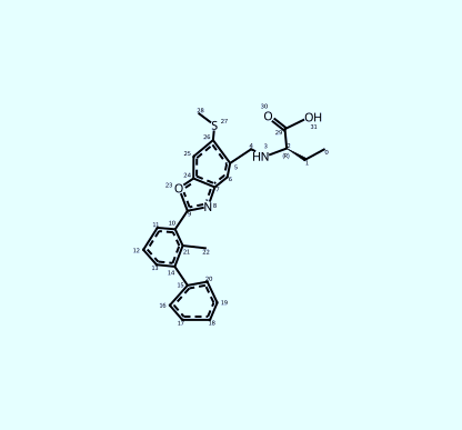 CC[C@@H](NCc1cc2nc(-c3cccc(-c4ccccc4)c3C)oc2cc1SC)C(=O)O